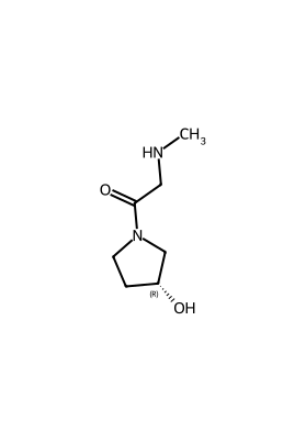 CNCC(=O)N1CC[C@@H](O)C1